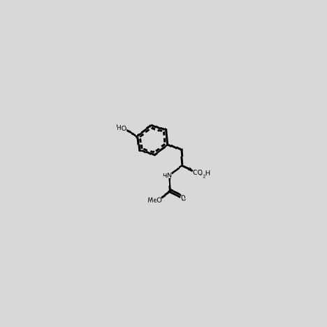 COC(=O)NC(Cc1ccc(O)cc1)C(=O)O